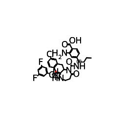 CCC[C@@H](NC(=O)N1C(=O)CCNC(=NOc2cc(F)cc(F)c2)C1Cc1cc(Cl)ccc1C#N)c1ccc(C(=O)O)c(N)c1